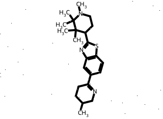 CC1CCC(c2ccc3sc(C4CCN(C)C(C)(C)C4(C)C)nc3c2)=NC1